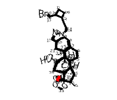 C[C@@H]1C[C@H]2[C@@H]3CCC4=Cc5c(cnn5CC5CCC5CBr)C[C@]4(C)[C@@]3(Cl)[C@@H](O)C[C@]2(C)[C@]12OCOC21COCO1